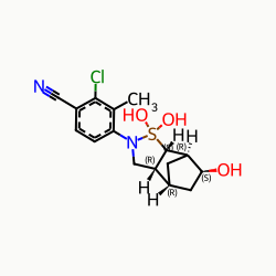 Cc1c(N2C[C@H]3[C@@H]4C[C@@H]([C@H]3S2(O)O)[C@@H](O)C4)ccc(C#N)c1Cl